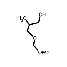 COCOCC(C)CO